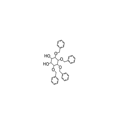 OC1C(O)C(OCc2ccccc2)C(OCc2ccccc2)C(OCc2ccccc2)C1OCc1ccccc1